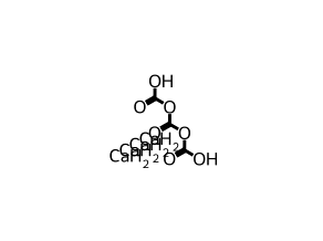 O=C(O)OC(=O)OC(=O)O.[CaH2].[CaH2].[CaH2].[CaH2]